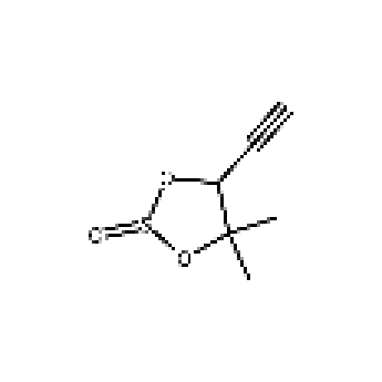 C#CC1OS(=O)OC1(C)C